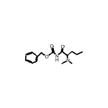 CCCC(C(=O)NC(=O)OCc1ccccc1)N(C)C